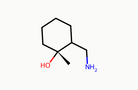 C[C@@]1(O)CCCCC1CN